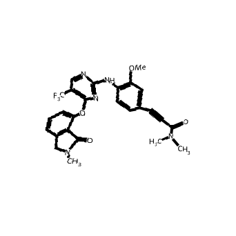 COc1cc(C#CC(=O)N(C)C)ccc1Nc1ncc(C(F)(F)F)c(Oc2cccc3c2C(=O)N(C)C3)n1